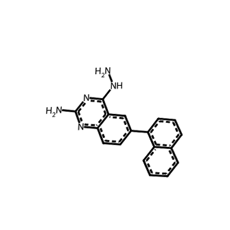 NNc1nc(N)nc2ccc(-c3cccc4ccccc34)cc12